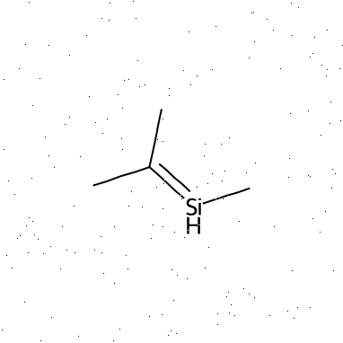 C[SiH]=C(C)C